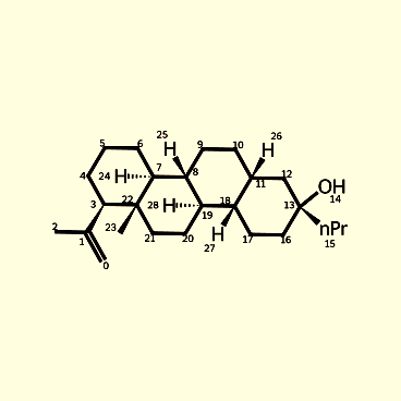 C=C(C)[C@H]1CCC[C@H]2[C@@H]3CC[C@@H]4C[C@@](O)(CCC)CC[C@@H]4[C@H]3CC[C@]12C